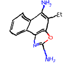 CCc1c(N)c2ccccc2c2nc(N)oc12